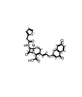 O=C(Cc1cccs1)NC1C(=O)N2C(C(=O)O)=C(/C=C/Sc3cc(=O)c4ccc(Cl)cc4s3)CS[C@H]12